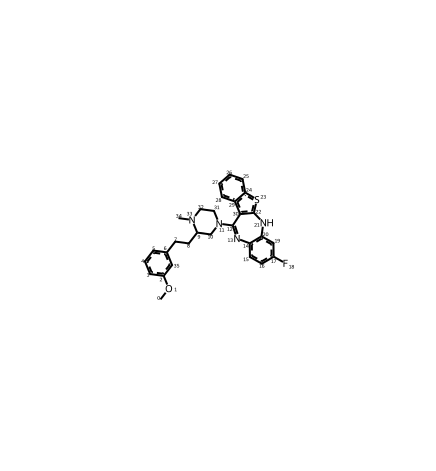 COc1cccc(CCC2CN(C3=Nc4ccc(F)cc4Nc4sc5ccccc5c43)CCN2C)c1